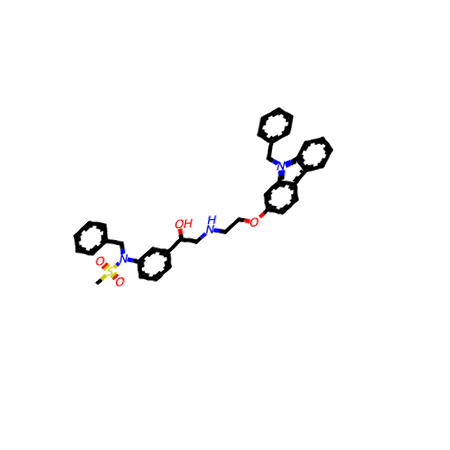 CS(=O)(=O)N(Cc1ccccc1)c1cccc(C(O)CNCCOc2ccc3c4ccccc4n(Cc4ccccc4)c3c2)c1